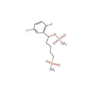 CS(=O)(=O)CCCCC(OS(C)(=O)=O)c1cc(F)ccc1F